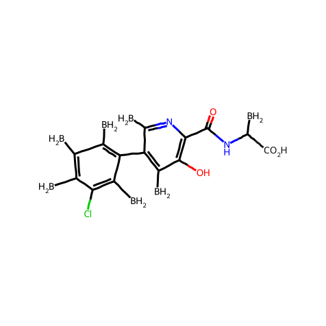 Bc1nc(C(=O)NC(B)C(=O)O)c(O)c(B)c1-c1c(B)c(B)c(B)c(Cl)c1B